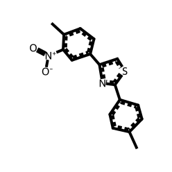 Cc1ccc(-c2nc(-c3ccc(C)c([N+](=O)[O-])c3)cs2)cc1